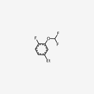 [CH2]Cc1ccc(F)c(OC(F)F)c1